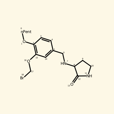 CCCCCOc1ccc(CNC2CCNC2=O)cc1OCBr